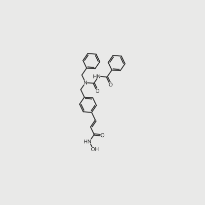 O=C(C=Cc1ccc(CN(Cc2ccccc2)C(=O)NC(=O)c2ccccc2)cc1)NO